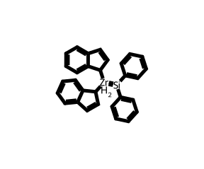 C1=C[CH]([ZrH2]([CH]2C=Cc3ccccc32)=[Si](c2ccccc2)c2ccccc2)c2ccccc21